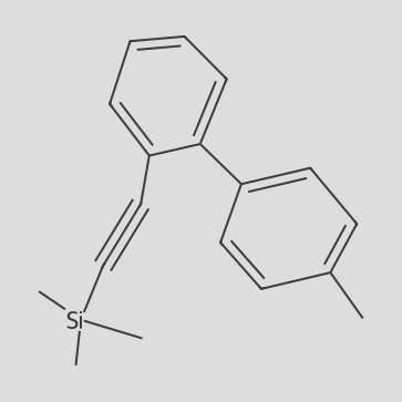 Cc1ccc(-c2ccccc2C#C[Si](C)(C)C)cc1